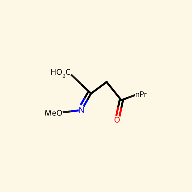 CCCC(=O)CC(=NOC)C(=O)O